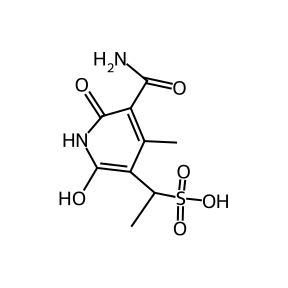 Cc1c(C(C)S(=O)(=O)O)c(O)[nH]c(=O)c1C(N)=O